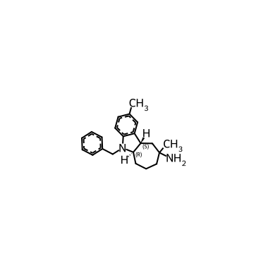 Cc1ccc2c(c1)[C@@H]1CC(C)(N)CCC[C@H]1N2Cc1ccccc1